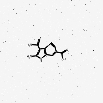 NC(=O)c1c(N)[nH]c2cc(C(=O)O)ccc12